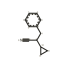 N#CC(Cc1ccccc1)C1CC1